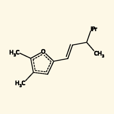 Cc1cc(/C=C/C(C)C(C)C)oc1C